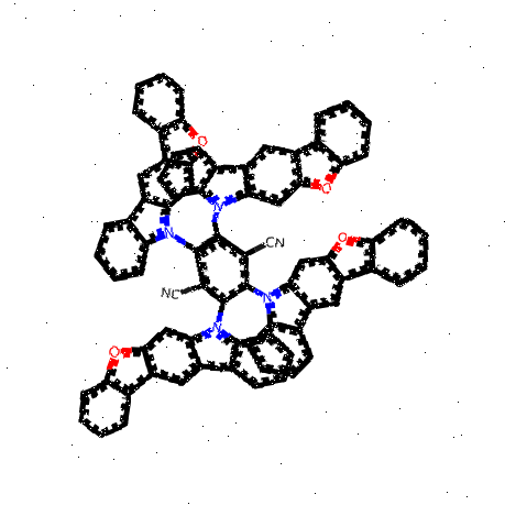 N#Cc1c(-n2c3ccccc3c3cc4c(cc32)oc2ccccc24)c(-n2c3ccccc3c3cc4c(cc32)oc2ccccc24)c(C#N)c(-n2c3ccccc3c3cc4c(cc32)oc2ccccc24)c1-n1c2ccccc2c2cc3c(cc21)oc1ccccc13